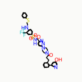 O=C(NS(=O)(=O)c1ccc(NCCSc2ccccc2)c(C(F)(F)F)c1)c1ccc(N2CCN(C(=O)CCc3ccccc3-c3cncc(O)c3)CC2)nn1